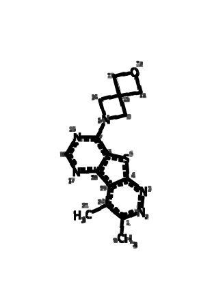 Cc1nnc2sc3c(N4CC5(COC5)C4)ncnc3c2c1C